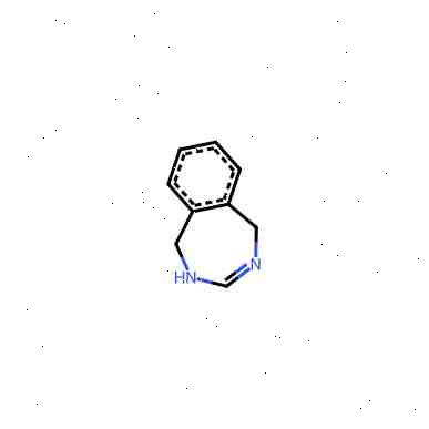 C1=NCc2ccccc2CN1